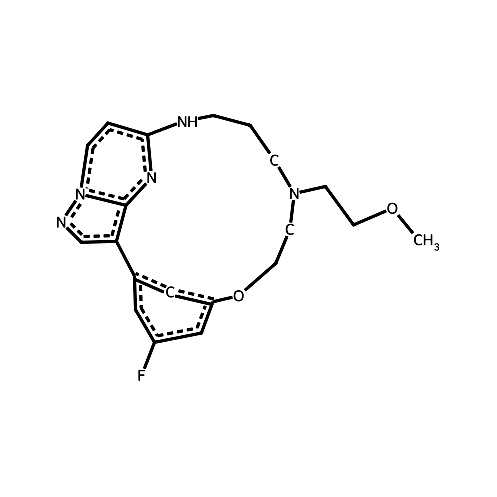 COCCN1CCCNc2ccn3ncc(c3n2)-c2cc(F)cc(c2)OCC1